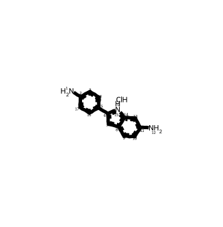 Cl.Nc1ccc(-c2cc3ccc(N)cc3[nH]2)cc1